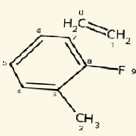 C=C.Cc1ccccc1F